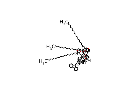 CCCCCCCCCCCCCCCCCCOc1ccccc1CC1C(Cc2ccccc2OCCCCCCCCCCCCCCCCCC)C(C(=O)O)N(C(=O)C(Cc2ccccc2)NC(=O)OCC2c3ccccc3-c3ccccc32)C1Cc1ccccc1OCCCCCCCCCCCCCCCCCC